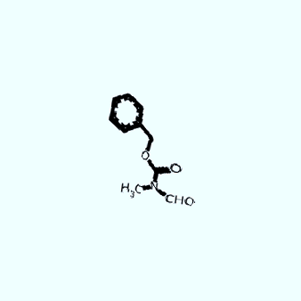 CN([C]=O)C(=O)OCc1ccccc1